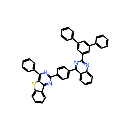 c1ccc(-c2cc(-c3ccccc3)cc(-c3nc(-c4ccc(-c5nc(-c6ccccc6)c6sc7ccccc7c6n5)cc4)c4ccccc4n3)c2)cc1